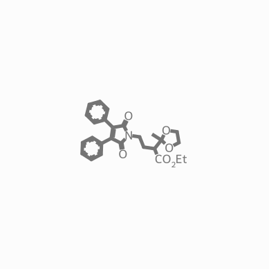 CCOC(=O)C(CCN1C(=O)C(c2ccccc2)=C(c2ccccc2)C1=O)C1(C)OCCO1